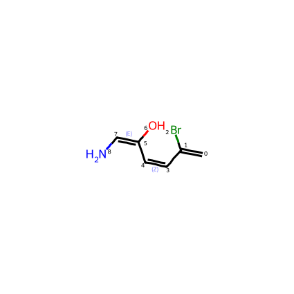 C=C(Br)/C=C\C(O)=C/N